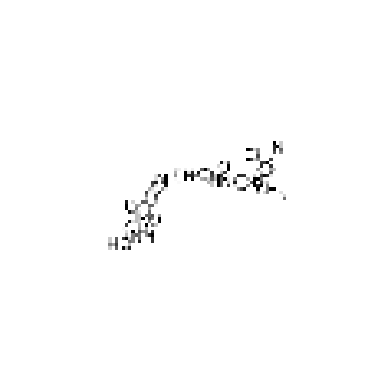 CN(c1ccc(C#N)c(Cl)c1)[C@H]1CC[C@H](NC(=O)c2ccc(N3CCC(Cn4cc5cc6c(cc5c4)C(=O)N(C4CCC(O)NC4=O)C6=O)CC3)cc2)CC1